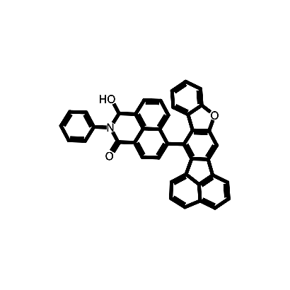 O=C1c2ccc(-c3c4c(cc5oc6ccccc6c35)-c3cccc5cccc-4c35)c3cccc(c23)C(O)N1c1ccccc1